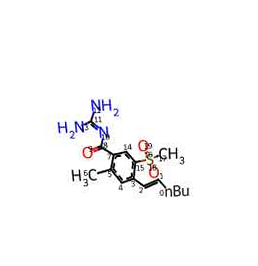 CCCC/C=C/c1cc(C)c(C(=O)N=C(N)N)cc1S(C)(=O)=O